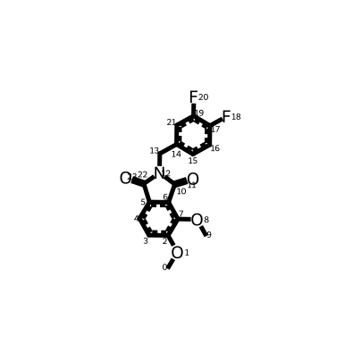 COc1ccc2c(c1OC)C(=O)N(Cc1ccc(F)c(F)c1)C2=O